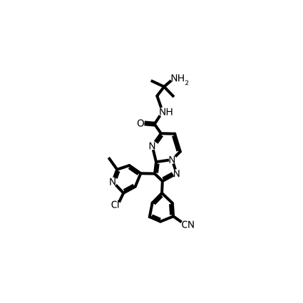 Cc1cc(-c2c(-c3cccc(C#N)c3)nn3ccc(C(=O)NCC(C)(C)N)nc23)cc(Cl)n1